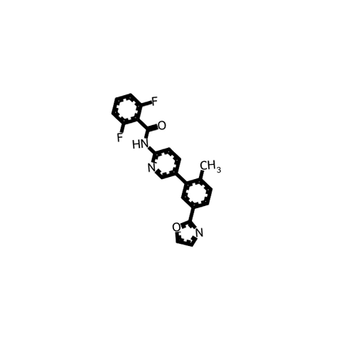 Cc1ccc(-c2ncco2)cc1-c1ccc(NC(=O)c2c(F)cccc2F)nc1